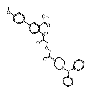 COc1ccc(-c2ccc(NC(=O)COCC(=O)N3CCN(C(c4ccccc4)c4ccccc4)CC3)c(C(=O)O)c2)cc1